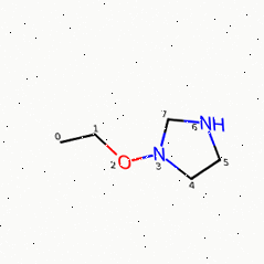 CCON1CCNC1